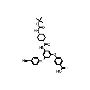 CC(C)(C)OC(=O)N[C@H]1CC[C@H](C(=O)Nc2cc(Oc3ccc(C#N)cc3)cc(Oc3ccc(C(=O)O)cc3)c2)CC1